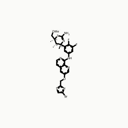 COC[C@@]1(C)SC(N)=N[C@](C)(c2cc(Nc3nccc4cc(OCc5nc(Br)cs5)cnc34)cc(F)c2F)[C@@H]1C